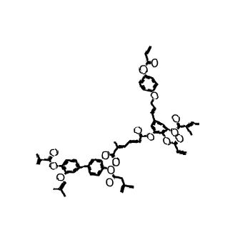 C=CC(=O)Oc1ccc(OC/C=C/c2cc(OC(=O)/C=C/C=C(\C)C(=O)Oc3cc(-c4ccc(OC(=O)C(=C)C)c(OC=C(C)C)c4)ccc3OC(=O)CC(=C)C)c(OC(=O)C=C)c(OC(=O)/C(C)=C/C)c2)cc1